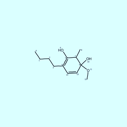 CCCCC1=C(O)C(C)C(O)(OC)C=C1